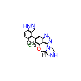 Cc1ccc2[nH]ncc2c1-c1cc2ncnc3c2c(c1Cl)OC[C@H]1CNCCN31